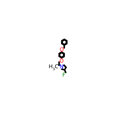 CC(COc1ccc(OCc2ccccc2)cc1)N1CCC(CF)C1